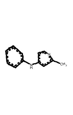 Cc1cc(Nc2ccccc2)ccn1